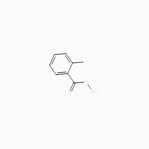 N=C(NN)c1ccccc1I